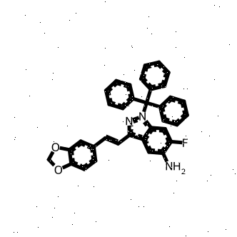 Nc1cc2c(C=Cc3ccc4c(c3)OCO4)nn(C(c3ccccc3)(c3ccccc3)c3ccccc3)c2cc1F